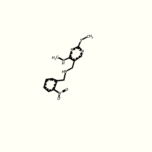 CNc1nc(SC)ncc1CNCc1ccccc1[N+](=O)[O-]